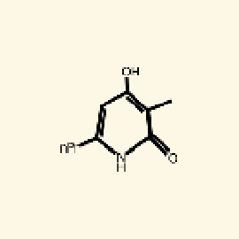 CCCc1cc(O)c(C)c(=O)[nH]1